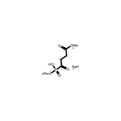 CCCCCP(=O)(O)C(=O)CCC(=O)OC.[NaH]